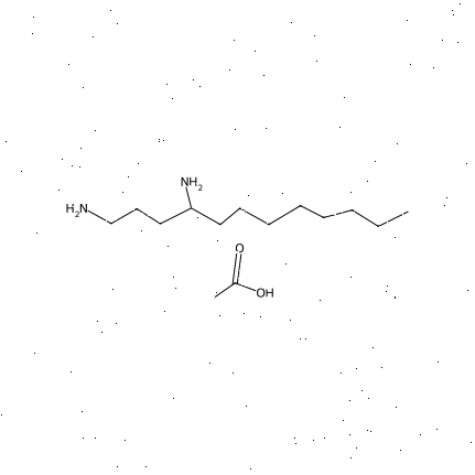 CC(=O)O.CCCCCCCCC(N)CCCN